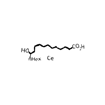 CCCCCC[C@@H](O)C/C=C\CCCCCCCC(=O)O.[Ce]